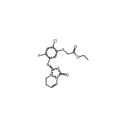 CCOC(=O)CSc1cc(N=c2sc(=O)n3n2CCC=C3)c(F)cc1Cl